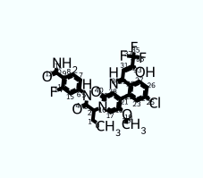 CCC(C(=O)Nc1ccc(C(N)=O)c(F)c1)n1cc(OC)c(-c2cc(Cl)ccc2C(=N)/C=C(\O)C(F)(F)F)cc1=O